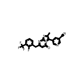 Cc1sc2nc(Cc3cccc(C(F)(F)F)c3F)cc(=O)n2c1-c1cncc(C#N)c1